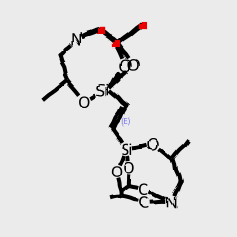 CC1CN2CC(C)O[Si](/C=C/[Si]34OC(C)CN(CC(C)O3)CC(C)O4)(O1)OC(C)C2